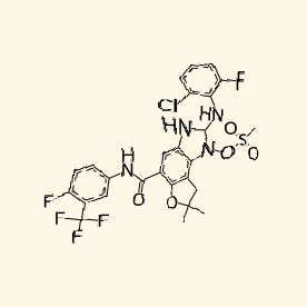 CC1(C)Cc2c(c(C(=O)Nc3ccc(F)c(C(F)(F)F)c3)cc3c2N(OS(C)(=O)=O)C(Nc2c(F)cccc2Cl)N3)O1